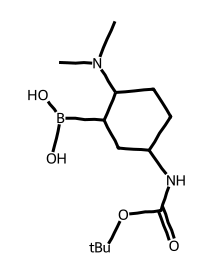 CN(C)C1CCC(NC(=O)OC(C)(C)C)CC1B(O)O